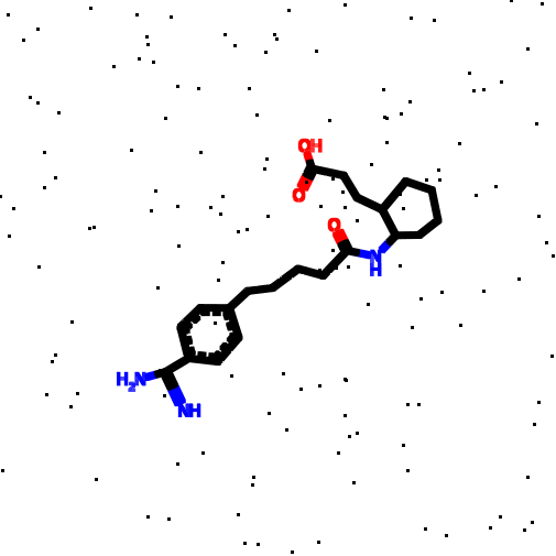 N=C(N)c1ccc(CCCCC(=O)NC2CCCCC2CCC(=O)O)cc1